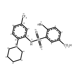 CCCCc1ccc(C(=O)O)cc1S(=O)(=O)Nc1cc(C(F)(F)F)ccc1N1CCCCC1